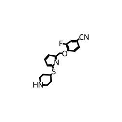 N#Cc1ccc(OCc2cccc(SC3CCNCC3)n2)c(F)c1